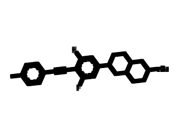 CCCCC1CCC2CC(c3cc(F)c(C#Cc4ccc(C)cc4)c(F)c3)CCC2C1